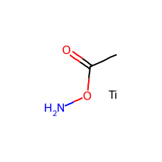 CC(=O)ON.[Ti]